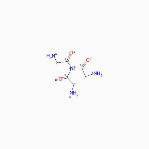 NCC(=O)[N+](C(=O)CN)C(=O)CN